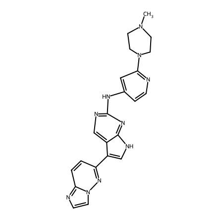 CN1CCN(c2cc(Nc3ncc4c(-c5ccc6nccn6n5)c[nH]c4n3)ccn2)CC1